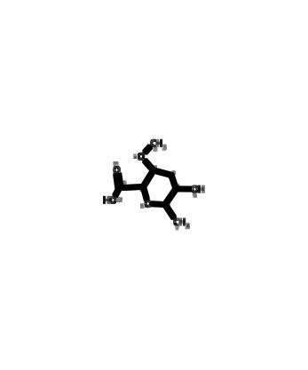 COC1CC(O)C(C)OC1C(=O)O